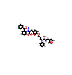 O=C(c1ccccc1)c1ccccc1NC(Cc1ccc(OCCCN(C(=O)C=Cc2ccoc2)c2ccccc2)cc1)C(=O)O